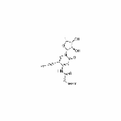 CCC#Cc1cn([C@@H]2O[C@H](C)[C@@H](O)[C@H]2O)c(=O)nc1NC(=O)OCCCCC